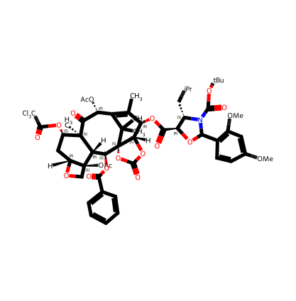 COc1ccc(C2O[C@@H](C(=O)O[C@@H]3C(C)=C4[C@@H](OC(C)=O)C(=O)[C@]5(C)[C@@H](OC(=O)C(Cl)(Cl)Cl)C[C@H]6OC[C@@]6(OC(C)=O)[C@H]5[C@H](OC(=O)c5ccccc5)[C@@]5(OC(=O)O[C@@H]35)C4(C)C)[C@H](CC(C)C)N2C(=O)OC(C)(C)C)c(OC)c1